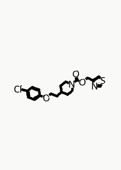 O=C(OCc1cscn1)N1CCC(CCOc2ccc(Cl)cc2)CC1